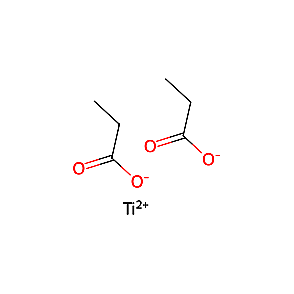 CCC(=O)[O-].CCC(=O)[O-].[Ti+2]